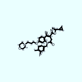 Cc1ccc(CN2C(=O)CC(c3nnc(C4CC4)o3)=C(Br)c3ccc(OCCCN4CCOCC4)cc32)cc1F